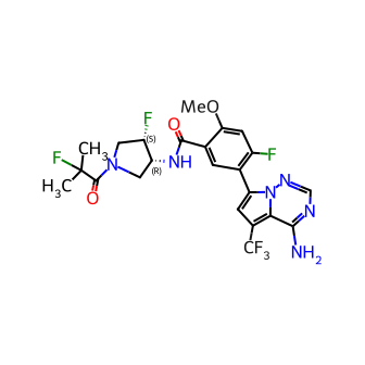 COc1cc(F)c(-c2cc(C(F)(F)F)c3c(N)ncnn23)cc1C(=O)N[C@@H]1CN(C(=O)C(C)(C)F)C[C@@H]1F